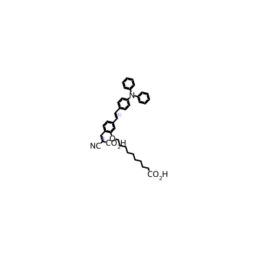 N#C/C(=C/c1ccc(/C=C/c2ccc(N(c3ccccc3)c3ccccc3)cc2)cc1OCCCCCCCCCC(=O)O)C(=O)O